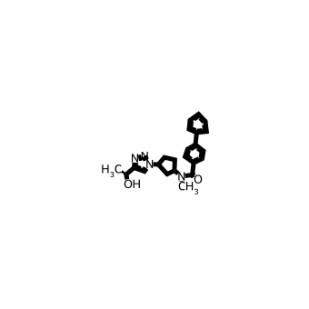 C[C@H](O)c1cn(C2CCC(N(C)C(=O)c3ccc(-c4ccccc4)cc3)C2)nn1